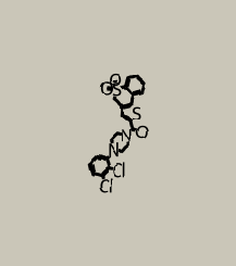 O=C(c1cc2c(s1)-c1ccccc1S(=O)(=O)C2)N1CCN(c2cccc(Cl)c2Cl)CC1